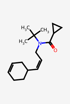 CC(C)(C)N(C/C=C\C1CC=CCC1)C(=O)C1CC1